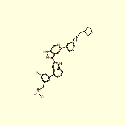 C[S+]([O-])NCc1cc(F)cc(-c2cccc3[nH]c(-c4n[nH]c5cnc(-c6cncc(CNCC7CCCC7)c6)cc45)cc23)c1